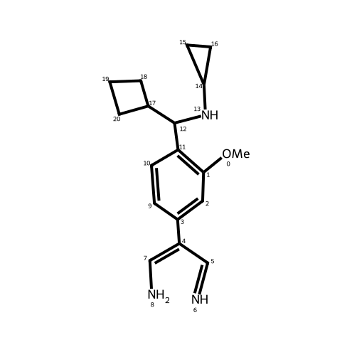 COc1cc(/C(C=N)=C/N)ccc1C(NC1CC1)C1CCC1